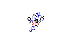 C=C(C(=O)Nc1cc(O[C@H](C)C(=O)N2CCN(C(C)=O)CC2)ccc1Nc1nc(Nc2cc(OC)ncc2C)ncc1C(F)(F)F)c1ccccc1